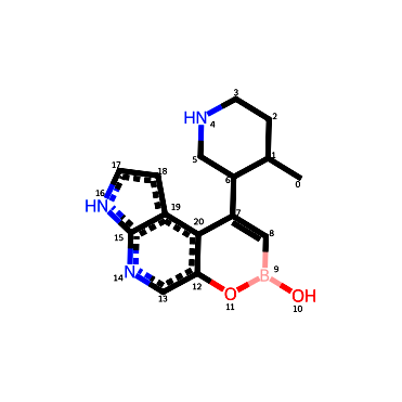 CC1CCNCC1C1=CB(O)Oc2cnc3[nH]ccc3c21